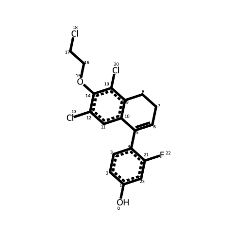 Oc1ccc(C2=CCCc3c2cc(Cl)c(OCCCl)c3Cl)c(F)c1